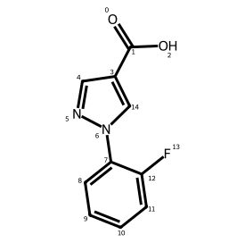 O=C(O)c1cnn(-c2ccccc2F)c1